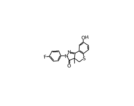 CC12CSc3ccc(O)cc3C1=NN(c1ccc(F)cc1)C2=O